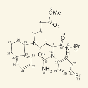 COC(=O)CCCN(CC[C@@H](C(=O)NC(C)C)N(C(N)=O)c1ccc(Br)cc1)C1CCCc2ccccc21